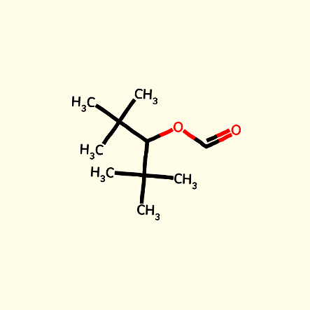 CC(C)(C)C(OC=O)C(C)(C)C